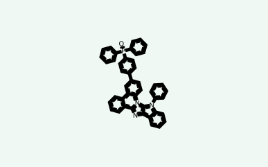 O=P(c1ccccc1)(c1ccccc1)c1ccc(-c2ccc3c(c2)c2ccccc2c2nc4c5ccccc5n(-c5ccccc5)c4n32)cc1